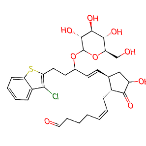 O=CCCC/C=C\C[C@H]1C(=O)C(O)C[C@@H]1/C=C/C(CCc1sc2ccccc2c1Cl)OC1O[C@H](CO)[C@@H](O)[C@H](O)[C@H]1O